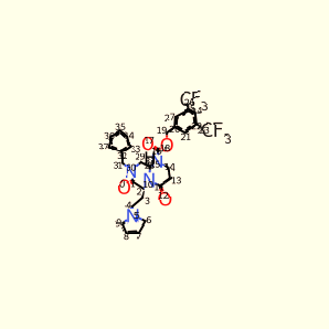 O=C1[C@H](CCN2CC=CC2)N2C(=O)CCN(C(=O)OCc3cc(C(F)(F)F)cc(C(F)(F)F)c3)[C@H]2CN1Cc1ccccc1